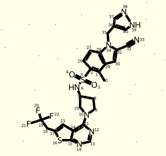 Cc1c(S(=O)(=O)NC2CCN(c3ncnc4sc(CC(F)(F)F)cc34)C2)ccc2c1cc(C#N)n2Cc1cn[nH]c1